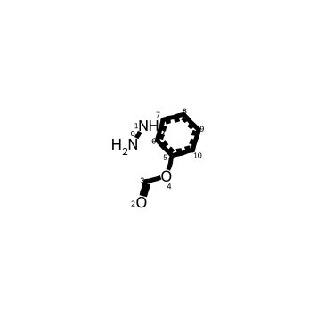 NN.O=COc1ccccc1